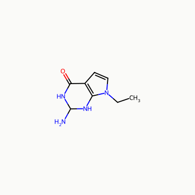 CCn1ccc2c1NC(N)NC2=O